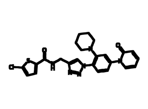 O=C(NCc1cn(-c2ccc(-n3ccccc3=O)cc2N2CCCCC2)nn1)c1ccc(Cl)s1